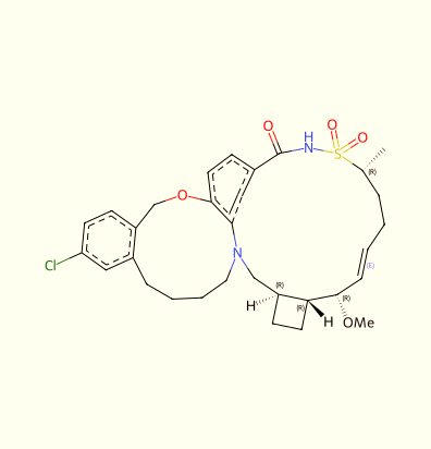 CO[C@H]1/C=C/CC[C@@H](C)S(=O)(=O)NC(=O)c2ccc3c(c2)N(CCCCc2cc(Cl)ccc2CO3)C[C@@H]2CC[C@H]21